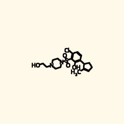 CC1=CCCC1c1ccc(Cl)c(S(=O)(=O)N2CCN(CCO)CC2)c1O